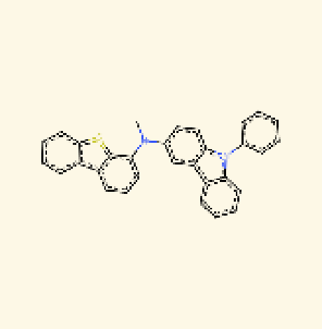 CN(c1ccc2c(c1)c1ccccc1n2-c1ccccc1)c1cccc2c1sc1ccccc12